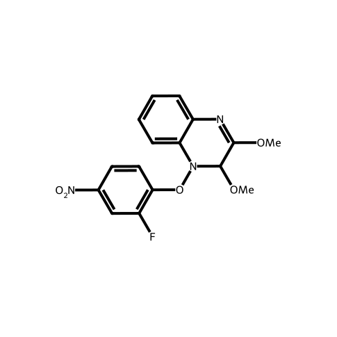 COC1=Nc2ccccc2N(Oc2ccc([N+](=O)[O-])cc2F)C1OC